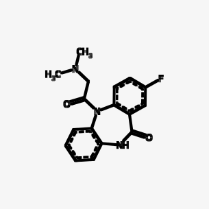 CN(C)CC(=O)N1c2ccccc2NC(=O)c2cc(F)ccc21